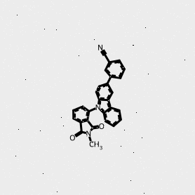 CN1C(=O)c2cccc(-n3c4ccccc4c4cc(-c5cccc(C#N)c5)ccc43)c2C1=O